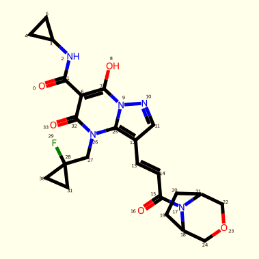 O=C(NC1CC1)c1c(O)n2ncc(/C=C/C(=O)N3C4CCC3COC4)c2n(CC2(F)CC2)c1=O